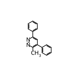 Cc1nnc(-c2ccccc2)cc1-c1ccccc1